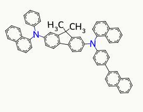 CC1(C)c2cc(N(c3ccccc3)c3cccc4ccccc34)ccc2-c2ccc(N(c3ccc(-c4ccc5ccccc5c4)cc3)c3cccc4ccccc34)cc21